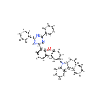 c1ccc(-c2nc(-c3ccccc3)nc(-c3cccc4c3oc3ccc(-n5c6ccccc6c6c7ccccc7ccc65)cc34)n2)cc1